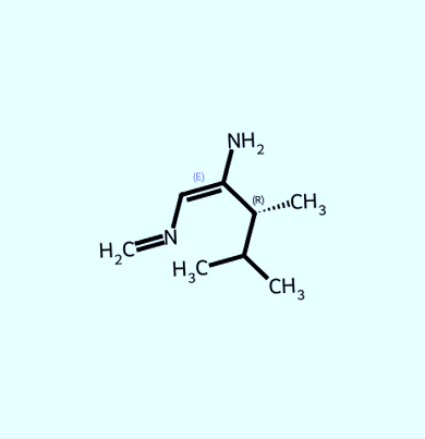 C=N/C=C(/N)[C@H](C)C(C)C